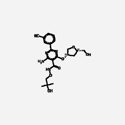 CC(C)(O)CONC(=O)c1c(N)nc(-c2cccc(C#N)c2)nc1O[C@@H]1CO[C@H](CO)C1